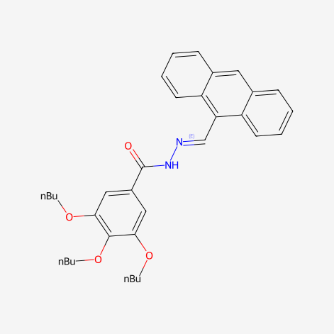 CCCCOc1cc(C(=O)N/N=C/c2c3ccccc3cc3ccccc23)cc(OCCCC)c1OCCCC